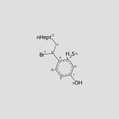 CCCCCCCCC(Br)c1ccc(O)cc1.S